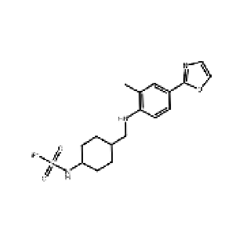 Cc1cc(-c2ncco2)ccc1NCC1CCC(NS(=O)(=O)C(C)C)CC1